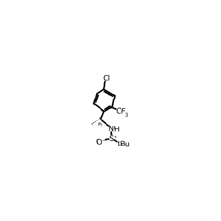 C[C@@H](N[S+]([O-])C(C)(C)C)c1ccc(Cl)cc1C(F)(F)F